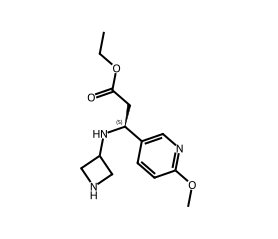 CCOC(=O)C[C@H](NC1CNC1)c1ccc(OC)nc1